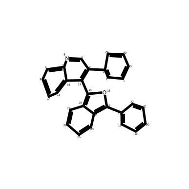 c1ccc(-c2cnc3ccccc3c2-c2oc(-c3ccccc3)c3ccccc23)cc1